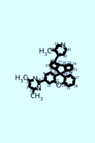 Cc1cc(C)nc(-c2ccc3c(c2)Oc2ccccc2C32c3ccccc3-c3c(-c4ccncc4C)cccc32)n1